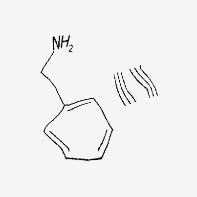 C#C.C#C.NCc1ccccc1